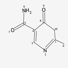 CC1=NC=C(C(N)=O)C(=O)C1